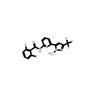 Cn1nc(C(F)(F)F)cc1-c1cccc(NC(=O)c2c(F)cccc2F)n1